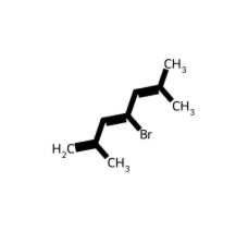 C=C(C)C=C(Br)C=C(C)C